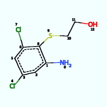 Nc1cc(Cl)cc(Cl)c1SCCO